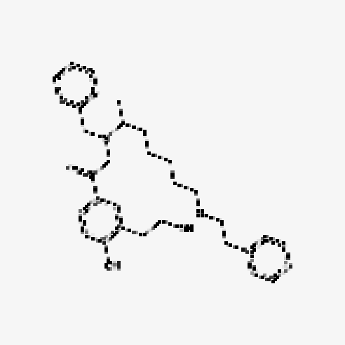 CC(CCCCCOCCc1ccccc1)N(CC(=O)c1ccc(O)c(CCO)c1)Cc1ccccc1